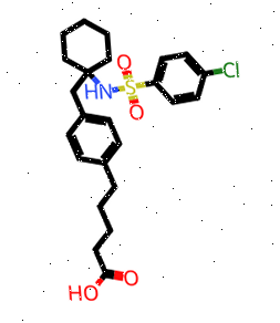 O=C(O)CCCCc1ccc(CC2(NS(=O)(=O)c3ccc(Cl)cc3)CCCCC2)cc1